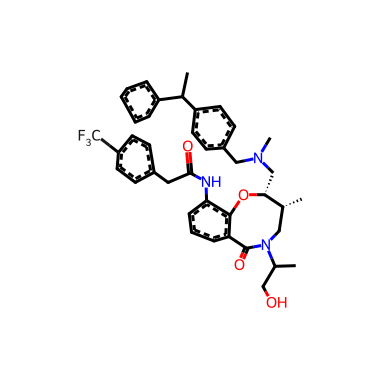 CC(c1ccccc1)c1ccc(CN(C)C[C@H]2Oc3c(NC(=O)Cc4ccc(C(F)(F)F)cc4)cccc3C(=O)N(C(C)CO)C[C@H]2C)cc1